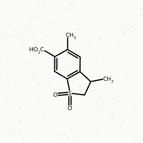 Cc1cc2c(cc1C(=O)O)S(=O)(=O)CC2C